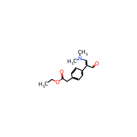 CCOC(=O)Cc1ccc(/C(C=O)=C\N(C)C)cc1